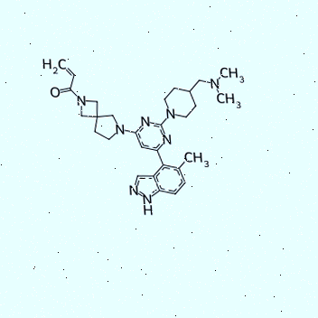 C=CC(=O)N1CC2(CCN(c3cc(-c4c(C)ccc5[nH]ncc45)nc(N4CCC(CN(C)C)CC4)n3)C2)C1